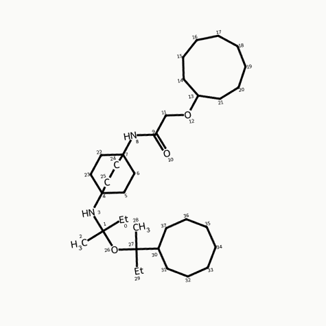 CCC(C)(NC12CCC(NC(=O)COC3CCCCCCCC3)(CC1)CC2)OC(C)(CC)C1CCCCCCC1